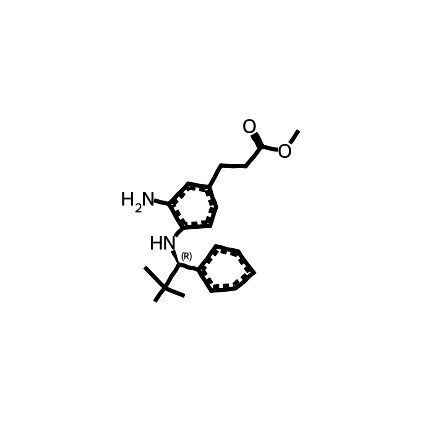 COC(=O)CCc1ccc(N[C@@H](c2ccccc2)C(C)(C)C)c(N)c1